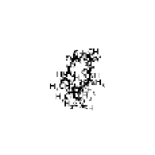 C=C(C)C(=O)OCC(=O)NC(CC)COCC(CC)(CC(C)(C)OCS)CC(C)(C)OCC(C)(C)NC(=O)COC(=O)C(=C)C